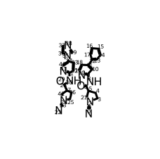 N#CN1CCC(C(=O)Nc2cc(-c3ccccc3)ccn2)C1.N#CN1CCC(C(=O)Nc2ccc(-n3ccnc3)cn2)C1